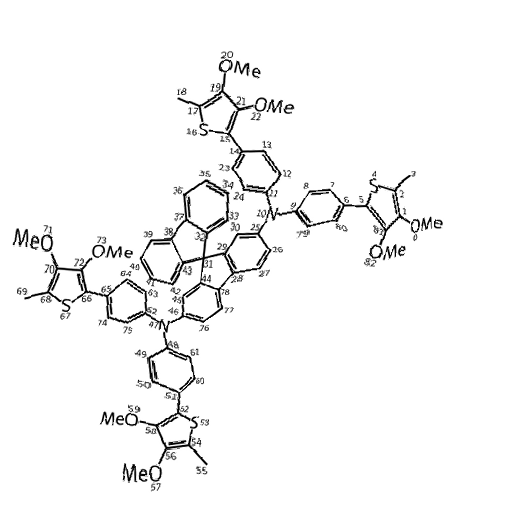 COc1c(C)sc(-c2ccc(N(c3ccc(-c4sc(C)c(OC)c4OC)cc3)c3ccc4c(c3)C3(c5ccccc5-c5ccccc53)c3cc(N(c5ccc(-c6sc(C)c(OC)c6OC)cc5)c5ccc(-c6sc(C)c(OC)c6OC)cc5)ccc3-4)cc2)c1OC